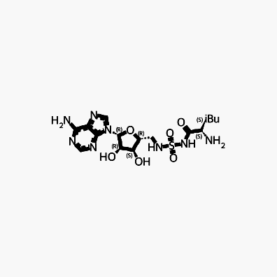 CC[C@H](C)[C@H](N)C(=O)NS(=O)(=O)NC[C@H]1O[C@@H](n2cnc3c(N)ncnc32)[C@H](O)[C@@H]1O